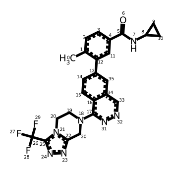 Cc1ccc(C(=O)NC2CC2)cc1-c1ccc2c(N3CCn4c(nnc4C(F)(F)F)C3)nncc2c1